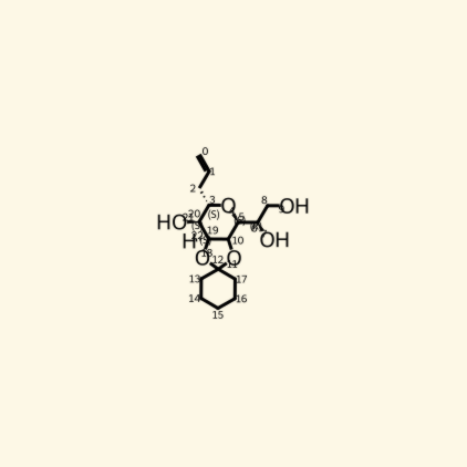 C=CC[C@@H]1O[C@@H]([C@H](O)CO)C2OC3(CCCCC3)O[C@H]2[C@H]1O